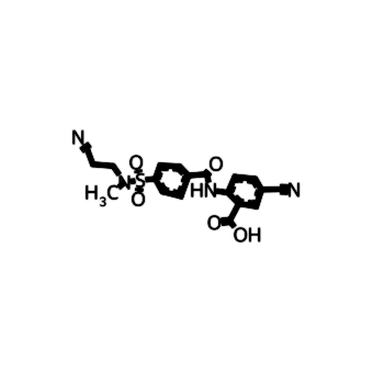 CN(CCC#N)S(=O)(=O)c1ccc(C(=O)Nc2ccc(C#N)cc2C(=O)O)cc1